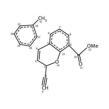 C#CC1C=Cc2cccc(C(=O)OC)c2O1.Cc1ccccc1